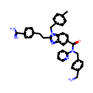 Cc1ccc(Cn2c(CCc3ccc(C(=N)N)cc3)nc3cc(C(=O)N(Cc4ccc(CN)cc4)c4ccccn4)ccc32)cc1